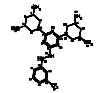 N[C@@H]1C[C@H](N)CN(c2nc(NNc3cccc(C(F)(F)F)c3)nc(N3C[C@H](N)C[C@H](N)C3)n2)C1